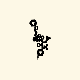 CC(C)N(C(=O)C(CC1CC1)C(=O)NS(=O)(=O)CCCOc1ccccc1)c1ccc(F)cc1